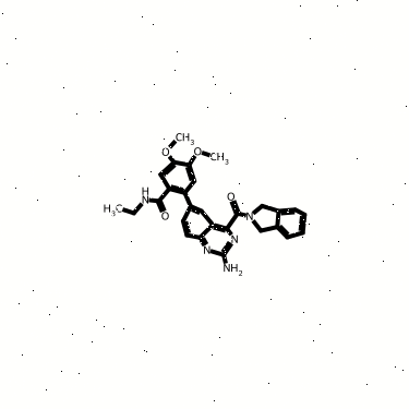 CCNC(=O)c1cc(OC)c(OC)cc1-c1ccc2nc(N)nc(C(=O)N3Cc4ccccc4C3)c2c1